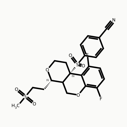 CS(=O)(=O)CC[C@@H]1OCC[C@@]2(S(=O)(=O)c3ccc(C#N)cc3)c3c(F)ccc(F)c3OCC12